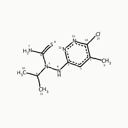 Cc1cc(NN(C(N)=S)C(C)C)nnc1Cl